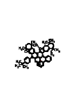 Cc1cc2c3c(c1)N(c1ccccc1-c1ccccc1)c1c(oc4cc5c(cc14)C(C)(C)CCC5(C)C)B3c1cc3c(cc1N2c1ccc(C(C)(C)C)cc1)C(C)(C)CCC3(C)C